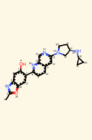 Cc1nc2cc(O)c(-c3ccc4cc(N5CC[C@@H](NC6CC6)C5)ncc4n3)cc2o1